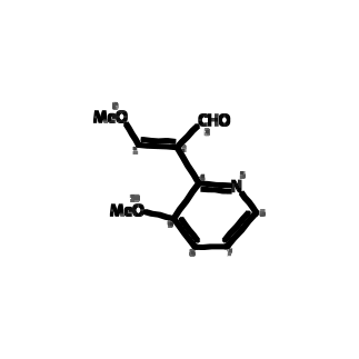 COC=C(C=O)c1ncccc1OC